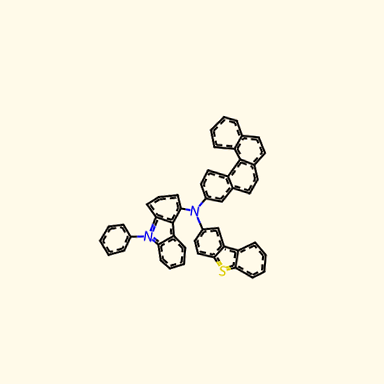 c1ccc(-n2c3ccccc3c3c(N(c4ccc5c(ccc6ccc7ccccc7c65)c4)c4ccc5sc6ccccc6c5c4)cccc32)cc1